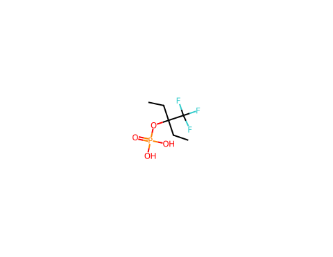 CCC(CC)(OP(=O)(O)O)C(F)(F)F